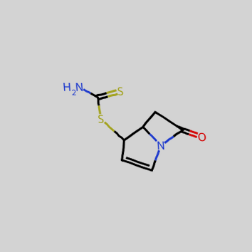 NC(=S)SC1C=CN2C(=O)CC12